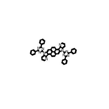 c1ccc(-c2nc(-c3ccccc3)nc(-n3c4cccnc4c4c5ccc6cc7c(c8ccc(cc43)c5c68)c3ncccc3n7-c3nc(-c4ccccc4)nc(-c4ccccc4)n3)n2)cc1